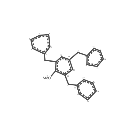 [CH2]Oc1c(Cc2ccccc2)cc(Cc2ccccc2)cc1Cc1ccccc1